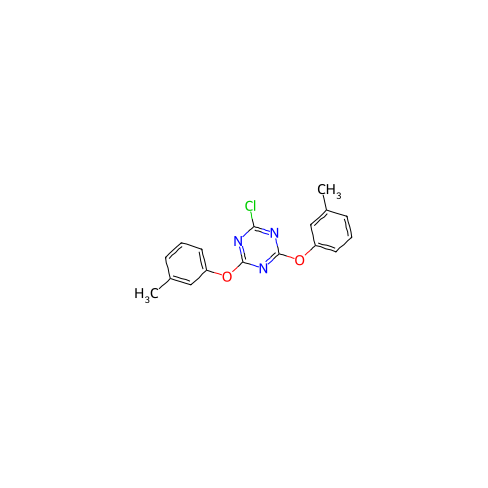 Cc1cccc(Oc2nc(Cl)nc(Oc3cccc(C)c3)n2)c1